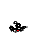 Cc1cnc(CO)n1-c1ccc(Cl)cc1C(=O)c1ccccc1